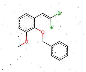 COc1cccc(C=C(Br)Br)c1OCc1ccccc1